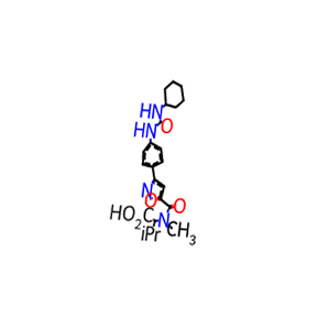 CC(C)C(C(=O)O)N(C)C(=O)c1cc(-c2ccc(NC(=O)NC3CCCCC3)cc2)no1